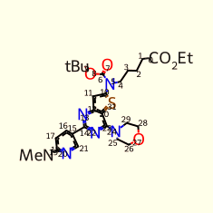 CCOC(=O)CCCCN(C(=O)OC(C)(C)C)c1cc2nc(-c3ccc(NC)nc3)nc(N3CCOCC3)c2s1